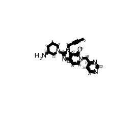 CC#CCn1c(N2CCCC(N)C2)nc2ccn(Cc3ccncn3)c(=O)c21